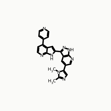 Cc1ncc(-c2cnc3[nH]nc(-c4cc5c(-c6ccncc6)ccnc5[nH]4)c3c2)n1C